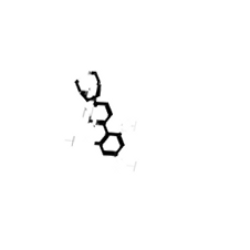 Cc1cc(C)c(-c2ccc(N3C4CCC3COC4)nn2)c(O)c1